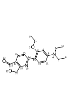 CCOc1cc(N(CC)CC)ccc1-c1ccc2c(n1)COC2=O